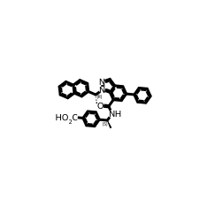 C[C@H](NC(=O)c1cc(-c2ccccc2)cc2cnn([C@H](C)c3ccc4ccccc4c3)c12)c1ccc(C(=O)O)cc1